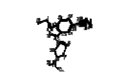 CCn1cc([C@@H]2CC[C@H](N(C)C)C2)c2cc(C#N)ccc21